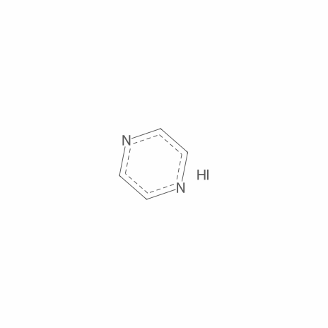 I.c1cnccn1